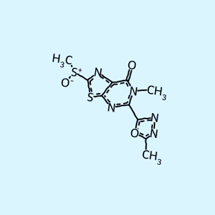 Cc1nnc(-c2nc3sc([S+](C)[O-])nc3c(=O)n2C)o1